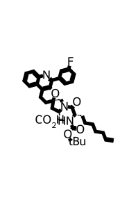 C=CCCCCC[C@H](NC(=O)OC(C)(C)C)C(=O)N1C[C@@]2(CCc3c(c(-c4cccc(F)c4)nc4ccccc34)O2)C[C@H]1C(=O)O